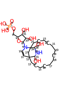 O=P(O)(O)OCC1OC(N2C=CC34CCCCCCCCCCCCCC2(C3)C(O)NC4O)C(O)C1O